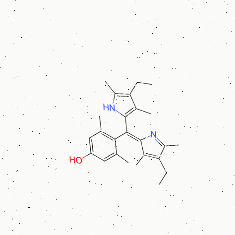 CCC1=C(C)/C(=C(/c2[nH]c(C)c(CC)c2C)c2c(C)cc(O)cc2C)N=C1C